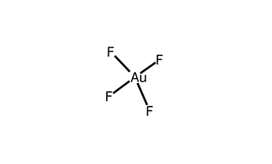 [F][Au]([F])([F])[F]